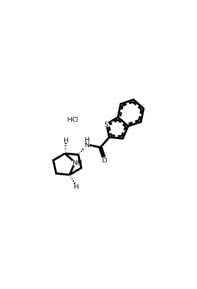 Cl.O=C(N[C@@H]1C[C@H]2CC[C@@H]1N2)c1cc2ccccc2s1